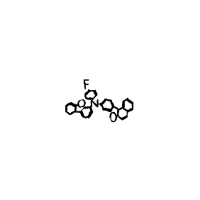 Fc1ccc(N(c2ccc3c(c2)oc2ccc4ccccc4c23)c2cccc3c2oc2ccccc23)cc1